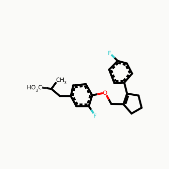 CC(Cc1ccc(OCC2=C(c3ccc(F)cc3)CCC2)c(F)c1)C(=O)O